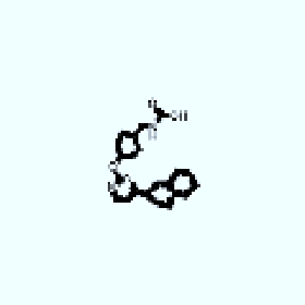 O=C(O)NCC1CCC(Oc2nccc(-c3ccc4ccccc4c3)n2)CC1